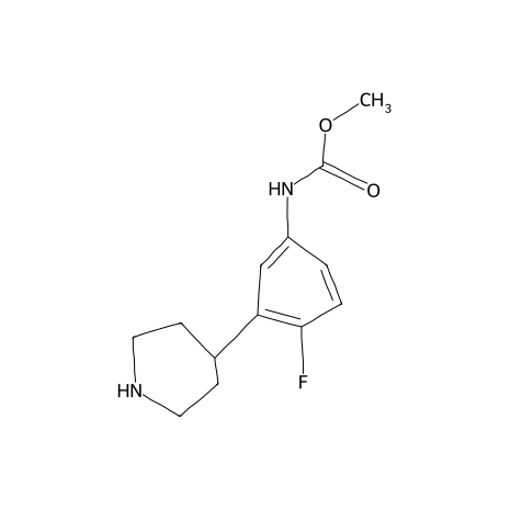 COC(=O)Nc1ccc(F)c(C2CCNCC2)c1